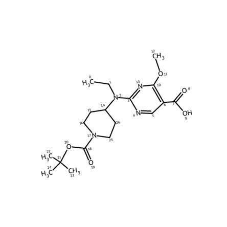 CCN(c1ncc(C(=O)O)c(OC)n1)C1CCN(C(=O)OC(C)(C)C)CC1